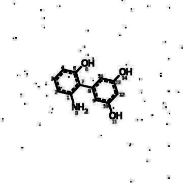 Nc1cccc(O)c1-c1cc(O)cc(O)c1